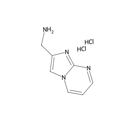 Cl.Cl.NCc1cn2cccnc2n1